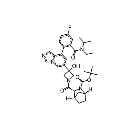 CCN(C(=O)c1cc(F)ccc1-c1cc(C2(O)CN(C(=O)[C@@H]3[C@H]4CC[C@H](C4)N3C(=O)OC(C)(C)C)C2)cn2cncc12)C(C)C